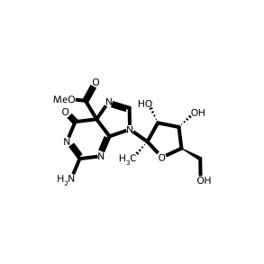 COC(=O)C12N=CN([C@]3(C)O[C@H](CO)[C@@H](O)[C@H]3O)C1=NC(N)=NC2=O